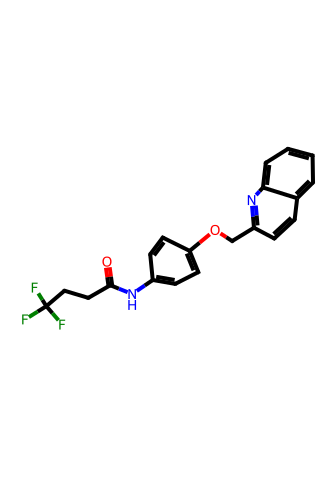 O=C(CCC(F)(F)F)Nc1ccc(OCc2ccc3ccccc3n2)cc1